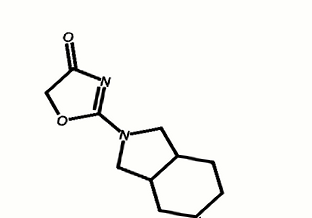 O=C1COC(N2CC3C[CH]CCC3C2)=N1